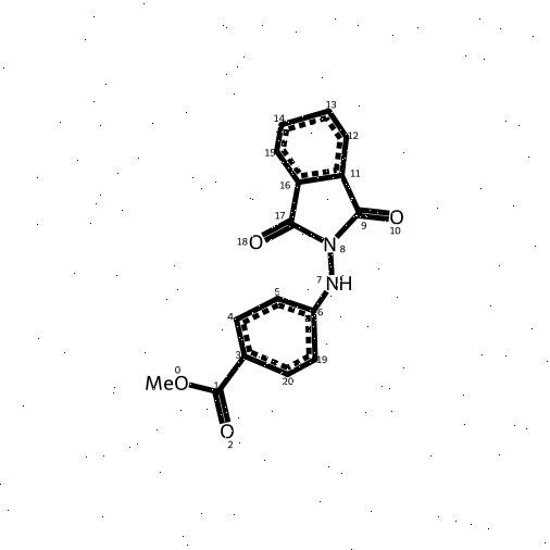 COC(=O)c1ccc(NN2C(=O)c3ccccc3C2=O)cc1